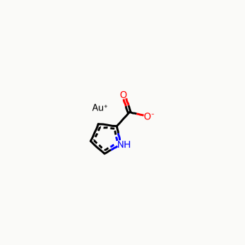 O=C([O-])c1ccc[nH]1.[Au+]